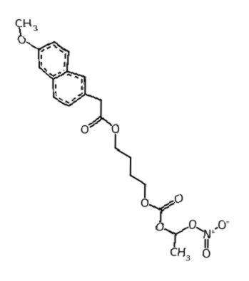 COc1ccc2cc(CC(=O)OCCCCOC(=O)OC(C)O[N+](=O)[O-])ccc2c1